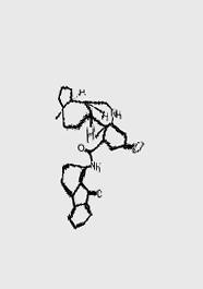 C[C@@]12CCC[C@H]1[C@@H]1CNC3=CC(=O)CC(C(=O)Nc4cccc5c4C(=O)c4ccccc4-5)[C@]3(C)[C@@H]1CC2